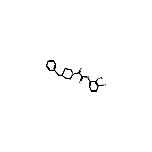 Cc1c(Cl)cccc1NC(=O)C(=O)N1CCC(Cc2ccccc2)CC1